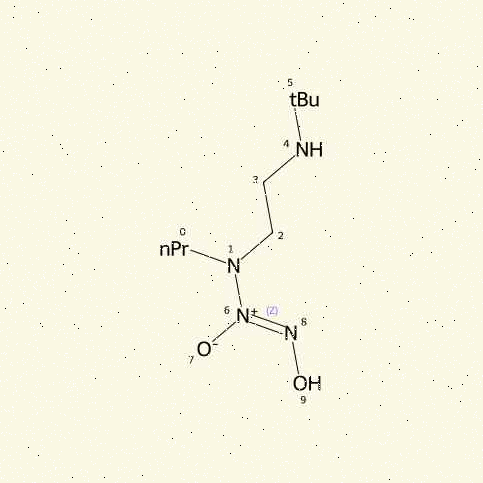 CCCN(CCNC(C)(C)C)/[N+]([O-])=N/O